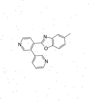 Cc1ccc2oc(-c3ccncc3-c3cccnc3)nc2c1